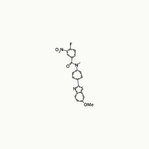 COc1ccc2nc(-c3ccc(N(C)C(=O)c4ccc(F)c([N+](=O)[O-])c4)cc3)sc2c1